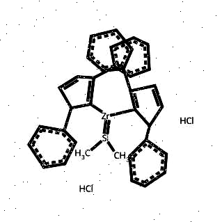 C[Si](C)=[Zr]([C]1=C(c2ccccc2)C=CC1c1ccccc1)[C]1=C(c2ccccc2)C=CC1c1ccccc1.Cl.Cl